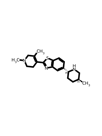 CC1=C(c2nc3cc([C@H]4CC[C@H](C)CN4)ccc3s2)CCN(C)C1